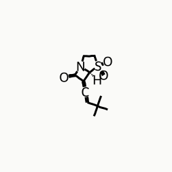 CC(C)(C)C=C=C1C(=O)N2CCS(=O)(=O)[C@@H]12